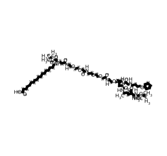 C[C@@H](NC(=O)[C@@H]1C[C@]2(COCCNC(=O)COCCOCCNC(=O)COCCOCCNC(=O)CC[C@H](NC(=O)CCCCCCCCCCCCCCCCC(=O)O)C(=O)OC(C)(C)C)C[C@@H]2N1C(=O)CNC(=O)CCCOc1ccccc1)c1cc(C(=N)NC(=O)OC(C)(C)C)cs1